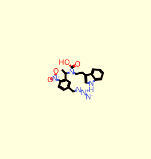 CC(c1cc(CN=[N+]=[N-])ccc1[N+](=O)[O-])N(CCc1c[nH]c2ccccc12)C(=O)O